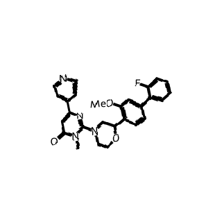 COc1cc(-c2ccccc2F)ccc1C1CN(c2nc(-c3ccncc3)cc(=O)n2C)CCO1